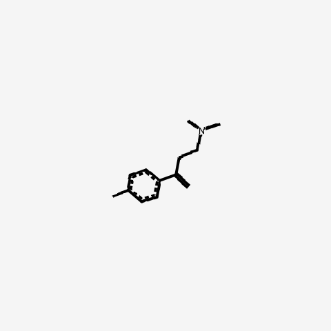 C=C(CCN(C)C)c1ccc(C)cc1